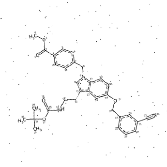 COC(=O)c1ccc(Cn2cc(CCNC(=O)OC(C)(C)C)c3cc(OCc4cccc(C#N)c4)ccc32)cc1